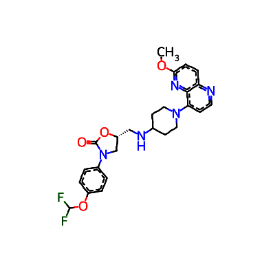 COc1ccc2nccc(N3CCC(NC[C@@H]4CN(c5ccc(OC(F)F)cc5)C(=O)O4)CC3)c2n1